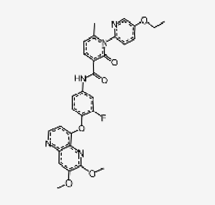 CCOc1ccc(-n2c(C)ccc(C(=O)Nc3ccc(Oc4ccnc5cc(OC)c(OC)nc45)c(F)c3)c2=O)nc1